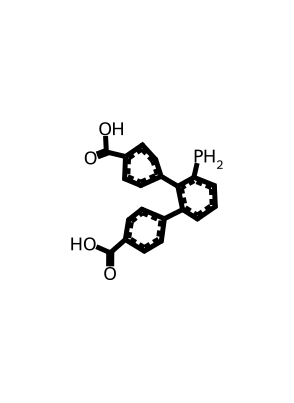 O=C(O)c1ccc(-c2cccc(P)c2-c2ccc(C(=O)O)cc2)cc1